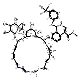 CO/C=C(/C(=O)OC)c1ccccc1COc1cccc(C(F)(F)F)n1.C[C@@H]1C/C=C/C=C/C=C/C=C/[C@H](O[C@@H]2O[C@H](C)[C@@H](O)[C@H](N)[C@@H]2O)C[C@@H]2O[C@](O)(C[C@@H](O)C[C@H]3O[C@@H]3/C=C/C(=O)O1)C[C@H](O)[C@H]2C(=O)O